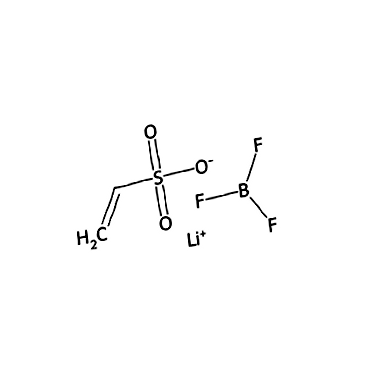 C=CS(=O)(=O)[O-].FB(F)F.[Li+]